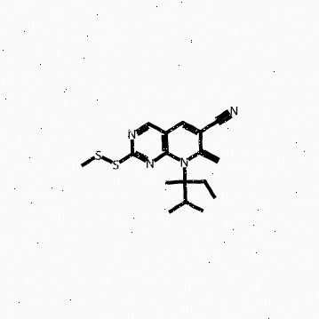 C=C1C(C#N)=Cc2cnc(SSC)nc2N1C(C)(CC)C(C)C